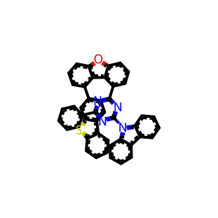 c1ccc(-c2nc(-c3cccc4oc5cccc(-c6ccc7c(c6)sc6ccccc67)c5c34)nc(-n3c4ccccc4c4ccccc43)n2)cc1